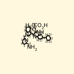 CC(=O)O.NCc1cccc(Cn2cc(-c3nc4ccc(-c5ccccc5)cc4[nH]c3=O)c3ccccc32)n1